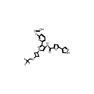 O=C(Nc1cn(C2CC(OCC(F)(F)F)C2)nc1-c1cccc(F)n1)c1ccc(-c2cn[nH]c2)o1.O=CO